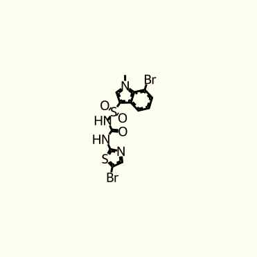 Cn1cc(S(=O)(=O)NC(=O)Nc2ncc(Br)s2)c2cccc(Br)c21